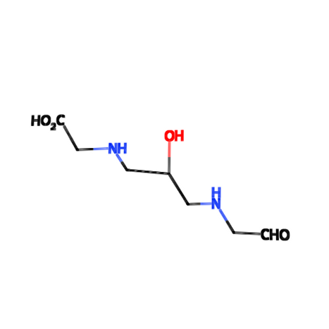 O=CCNCC(O)CNCC(=O)O